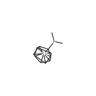 CP(C)[C]12[CH]3[CH]4[CH]5[CH]1[Co]45321678[CH]2[CH]1[CH]6[CH]7[CH]28